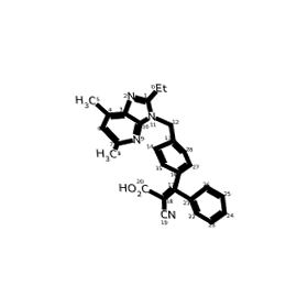 CCc1nc2c(C)cc(C)nc2n1Cc1ccc(C(=C(C#N)C(=O)O)c2ccccc2)cc1